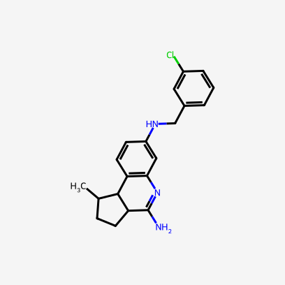 CC1CCC2C(N)=Nc3cc(NCc4cccc(Cl)c4)ccc3C12